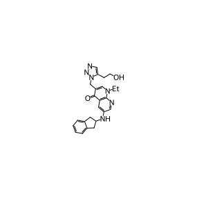 CCn1cc(Cn2nncc2CCO)c(=O)c2cc(NC3Cc4ccccc4C3)cnc21